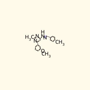 COc1cccc(-c2cc(N/N=C/c3ccc(C)cc3)nc(C)n2)c1